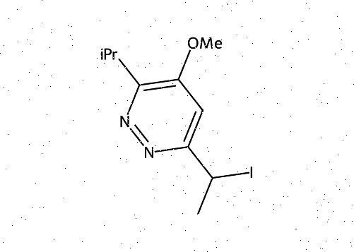 COc1cc(C(C)I)nnc1C(C)C